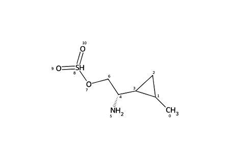 CC1CC1[C@H](N)CO[SH](=O)=O